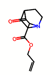 C=CCOC(=O)C1C(=O)C2CCN1CC2